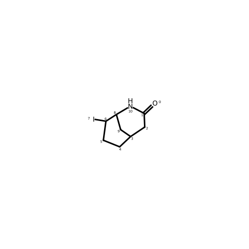 O=C1CC2CCC(I)C(C2)N1